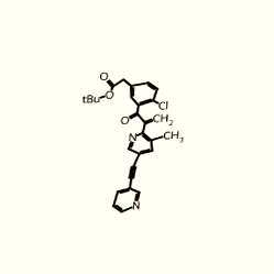 C=C(C(=O)c1cc(CC(=O)OC(C)(C)C)ccc1Cl)c1ncc(C#Cc2cccnc2)cc1C